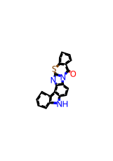 O=c1c2ccccc2sc2nc3c4c(ccc3n12)[nH]c1ccccc14